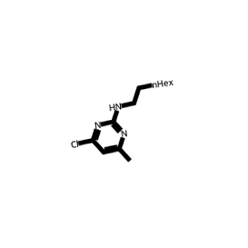 CCCCCCCCNc1nc(C)cc(Cl)n1